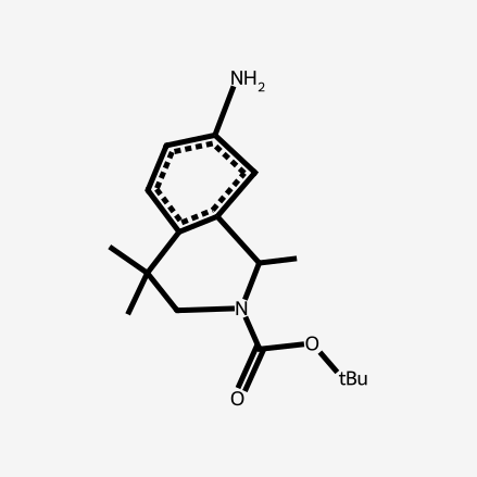 CC1c2cc(N)ccc2C(C)(C)CN1C(=O)OC(C)(C)C